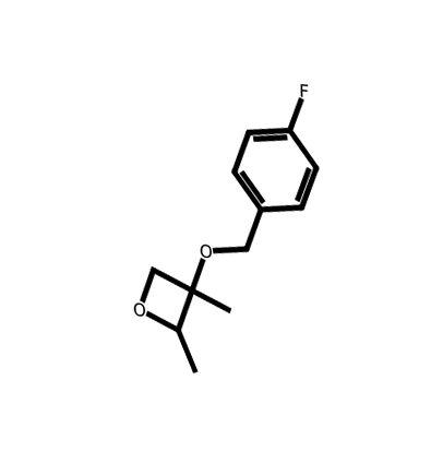 CC1OCC1(C)OCc1ccc(F)cc1